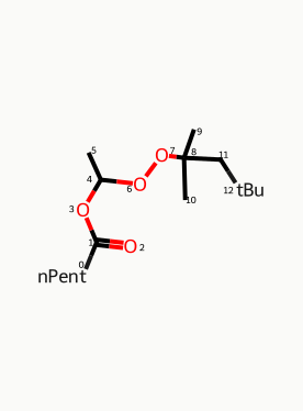 CCCCCC(=O)OC(C)OOC(C)(C)CC(C)(C)C